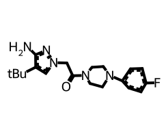 CC(C)(C)c1cn(CC(=O)N2CCN(c3ccc(F)cc3)CC2)nc1N